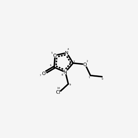 CCOc1noc(=O)n1CCl